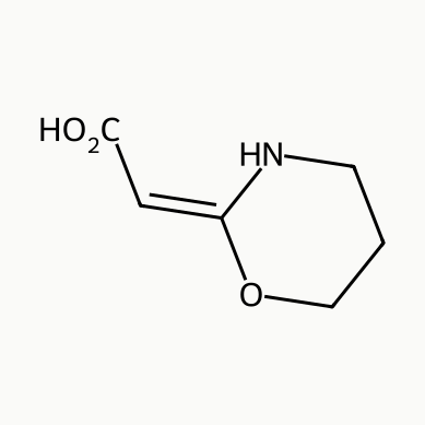 O=C(O)C=C1NCCCO1